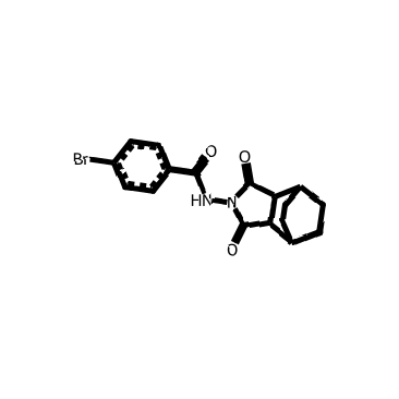 O=C(NN1C(=O)C2C3CCC(CC3)C2C1=O)c1ccc(Br)cc1